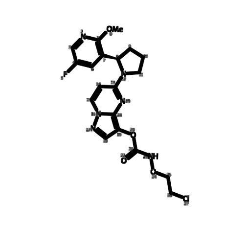 COc1ncc(F)cc1[C@H]1CCCN1c1ccn2ncc(OC(=O)NOCCCl)c2n1